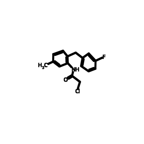 Cc1ccc(Cc2cccc(F)c2)c(NC(=O)CCl)c1